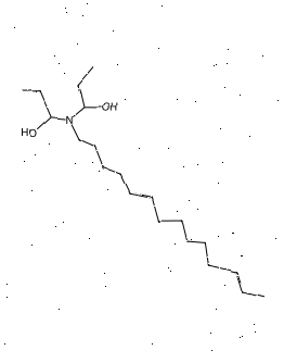 CCCCCCCCCCCCCCN(C(O)CC)C(O)CC